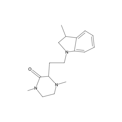 CC1CN(CCC2C(=O)N(C)CCN2C)c2ccccc21